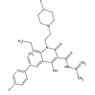 C=C(C)NC(=O)c1c(O)c(=C/C(=C\C)c2ccc(F)cc2)/c(=C/CC)n(CCN2CCC(F)CC2)c1=O